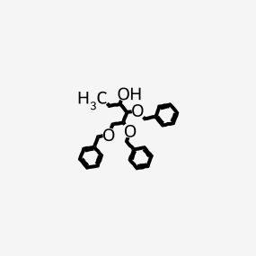 CCC(O)C(OCc1ccccc1)C(COCc1ccccc1)OCc1ccccc1